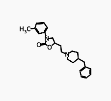 Cc1cccc(N2CC(CCN3CCC(Cc4ccccc4)CC3)OC2=O)c1